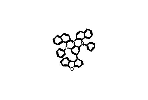 c1ccc(N2c3cc(-c4cccc5oc6ccccc6c45)cc4c3B(c3ccc5ccccc5c32)c2ccc3ccccc3c2N4c2ccccc2)cc1